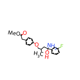 COC(=O)Cc1ccc(OCC(C)CC(N)(O)c2cccc(F)c2)cc1